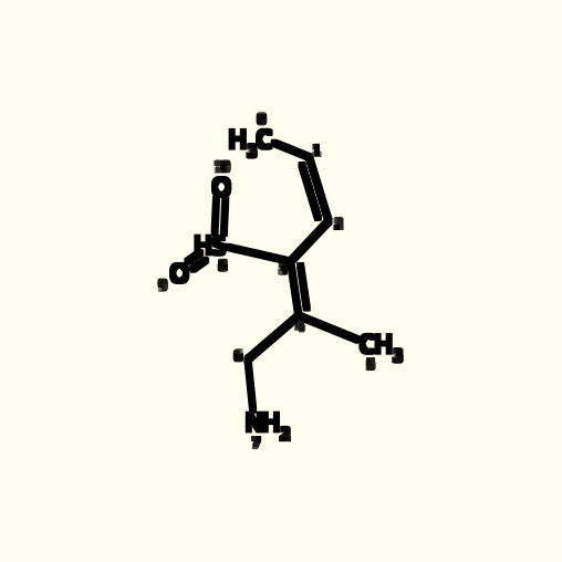 C/C=C\C(=C(/C)CN)[SH](=O)=O